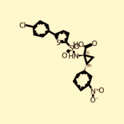 O=C(O)[C@]1(NS(=O)(=O)c2ccc(-c3ccc(Cl)cc3)s2)C[C@@H]1c1cccc([N+](=O)[O-])c1